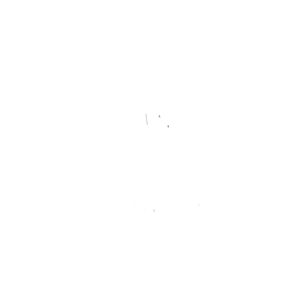 C=C(C)C(=O)OCCC(CC)NC